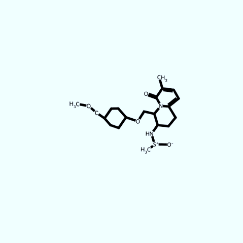 COCC1CCC(OCC2C(N[S+](C)[O-])CCc3ccc(C)c(=O)n32)CC1